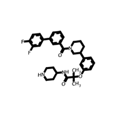 CC(C)(Oc1cccc(C2CCCN(C(=O)c3cccc(-c4ccc(F)c(F)c4)c3)C2)c1)C(=O)NC1CCNCC1